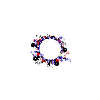 CCCC[C@H]1C(=O)N(C)[C@@H](CCCC)C(=O)NC2(Cc3ccccc3C2)C(=O)N[C@H](C(=O)NCC(N)=O)CSCC(=O)N[C@@H](Cc2ccc(O)cc2)C(=O)N(C)[C@@H](C)C(=O)N[C@@H](CC(N)=O)C(=O)N2CCC[C@H]2C(=O)N[C@@H](CC)C(=O)N[C@@H](CC(C)C)C(=O)N2C[C@H](O)C[C@H]2C(=O)NC(Cc2c[nH]c3ccccc23)C(=O)N[C@@H](CCN)C(=O)N[C@@H](Cc2c[nH]c3ccccc23)C(=O)N1C